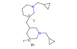 CC(C)[C@]1(F)CC(C[C@@]2(F)CCCN(CC3CC3)C2)CN(CC2CC2)C1